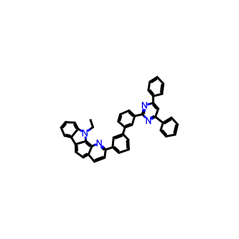 CCn1c2ccccc2c2ccc3ccc(-c4cccc(-c5cccc(-c6nc(-c7ccccc7)cc(-c7ccccc7)n6)c5)c4)nc3c21